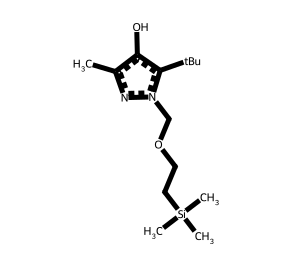 Cc1nn(COCC[Si](C)(C)C)c(C(C)(C)C)c1O